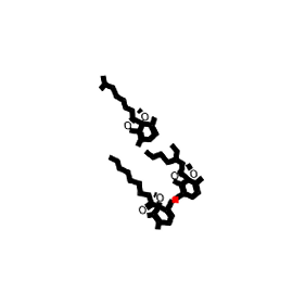 CCCCC(CC)CC(=O)C1(OC)C(C)=CCC(C)=C1C.CCCCCCCCC(=O)C1(OC)C(C)=CCC(C)=C1C.COC1(C(=O)CCCCCC(C)C)C(C)=CCC(C)=C1C